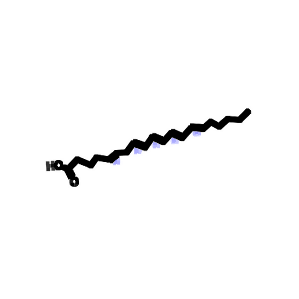 CCCCC/C=C/C=C/C=C/C=C/C/C=C/CCCC(=O)O